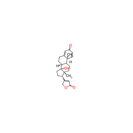 C[C@]12C=CC(=O)C=C1CC[C@@H]1[C@@H]2CC[C@]2(C)[C@@H](C3=CC(=O)OC3)CC[C@]12O